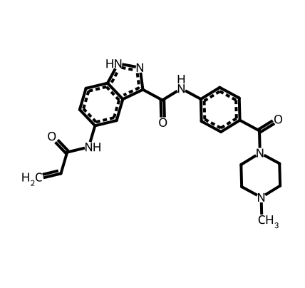 C=CC(=O)Nc1ccc2[nH]nc(C(=O)Nc3ccc(C(=O)N4CCN(C)CC4)cc3)c2c1